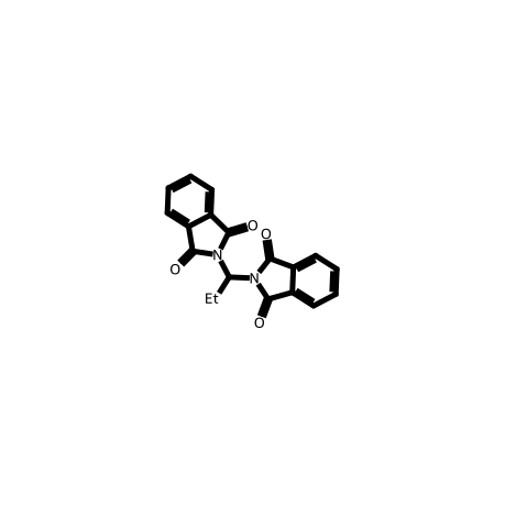 CCC(N1C(=O)c2ccccc2C1=O)N1C(=O)c2ccccc2C1=O